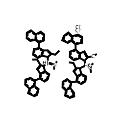 CCC1=Cc2c(-c3cccc4ccccc34)cccc2[CH]1[Hf]([CH]1C(CC)=Cc2c(-c3cccc4ccccc34)cccc21)=[Si](C)C.CCC1=Cc2c(-c3cccc4ccccc34)cccc2[CH]1[Hf]([CH]1C(CC)=Cc2c(-c3cccc4ccccc34)cccc21)=[Si](C)C.[Cl-].[Cl-]